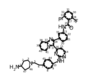 NC1CCN(CCc2ccc(Nc3nccc(-c4c(-c5cccc(NC(=O)c6c(F)cccc6F)c5)nc5ccccn45)n3)cc2)CC1